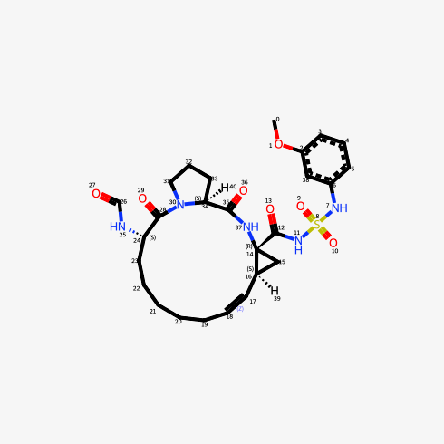 COc1cccc(NS(=O)(=O)NC(=O)[C@@]23C[C@H]2/C=C\CCCCC[C@H](NC=O)C(=O)N2CCC[C@H]2C(=O)N3)c1